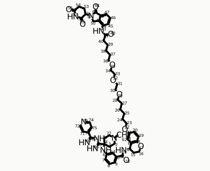 CN1CCC(Nc2cccc(C(=O)N[C@H]3CCOc4ccc(OCCCCCCOCCOCCOCCCCCC(=O)Nc5cccc6c5CN(C5CCC(=O)NC5=O)C6=O)cc43)c2)(C(=N)NC(=N)c2ccncc2)CC1